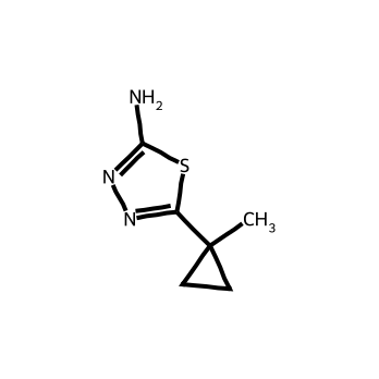 CC1(c2nnc(N)s2)CC1